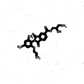 C=CCOc1cc(C)cc(C)c1N1C(=O)c2ccc(C(=O)OCC(O)CC)cc2C1=O